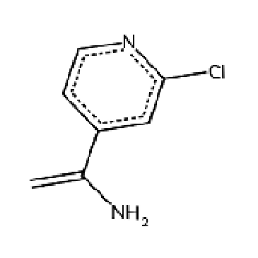 C=C(N)c1ccnc(Cl)c1